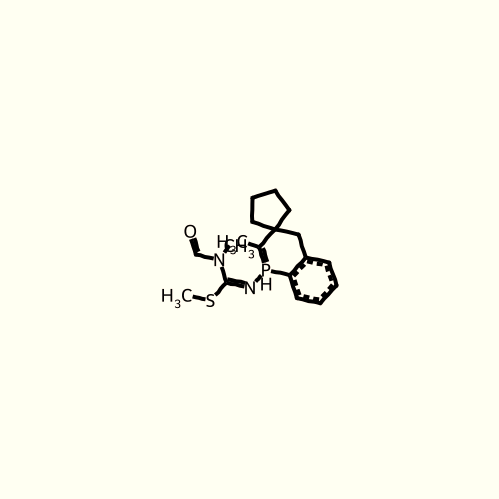 CS/C(=N/[PH]1=C(C)C2(CCCC2)Cc2ccccc21)N(C)C=O